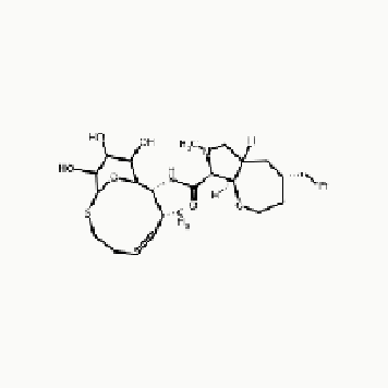 CC(C)C[C@@H]1CCO[C@@H]2[C@@H](C1)CN(C)[C@@H]2C(=O)N[C@H]1C2OC(SCC/C=C\[C@H]1C)C(O)C(O)C2O